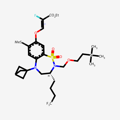 CCOC(=O)/C(F)=C/Oc1cc2c(cc1SC)N(C13CC(C1)C3)C[C@@H](CCCC(F)(F)F)N(COCC[Si](C)(C)C)S2(=O)=O